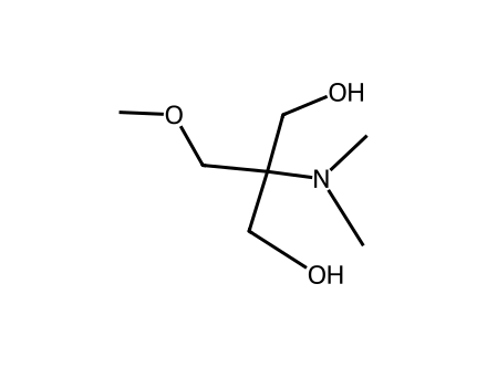 COCC(CO)(CO)N(C)C